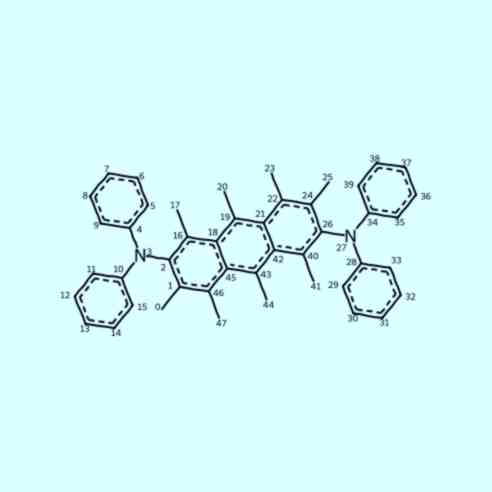 Cc1c(N(c2ccccc2)c2ccccc2)c(C)c2c(C)c3c(C)c(C)c(N(c4ccccc4)c4ccccc4)c(C)c3c(C)c2c1C